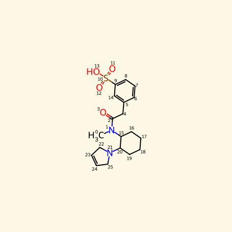 CN(C(=O)Cc1cccc(S(=O)(=O)O)c1)C1CCCCC1N1CC=CC1